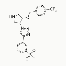 CS(=O)(=O)c1cccc(-c2cn(C3CNCC3OCc3ccc(C(F)(F)F)cc3)nn2)c1